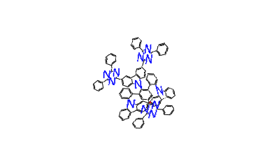 c1ccc(-c2nc(-c3ccccc3)nc(-c3cc(-c4ccccc4-n4c5ccccc5c5ccccc54)c(-n4c5ccc(-c6nc(-c7ccccc7)nc(-c7ccccc7)n6)cc5c5cc(-c6nc(-c7ccccc7)nc(-c7ccccc7)n6)ccc54)c(-c4ccccc4-n4c5ccccc5c5ccccc54)c3)n2)cc1